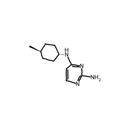 C[C@H]1CC[C@H](Nc2ccnc(N)n2)CC1